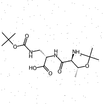 C[C@@H](OC(C)(C)C)[C@H](N)C(=O)N[C@@H](CNC(=O)OC(C)(C)C)C(=O)O